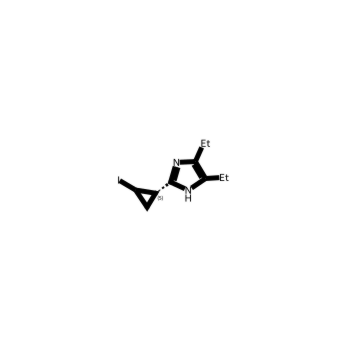 CCc1nc([C@@H]2CC2I)[nH]c1CC